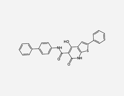 O=C(Nc1ccc(-c2ccccc2)cc1)c1c(O)c2cc(-c3ccccc3)sc2[nH]c1=O